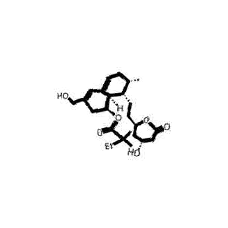 CCC(C)(C)C(=O)O[C@H]1CC(CO)=CC2=CC[C@H](C)[C@H](CC[C@@H]3C[C@@H](O)CC(=O)O3)[C@H]21